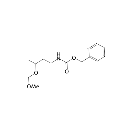 COCOC(C)CCNC(=O)OCc1[c]cccc1